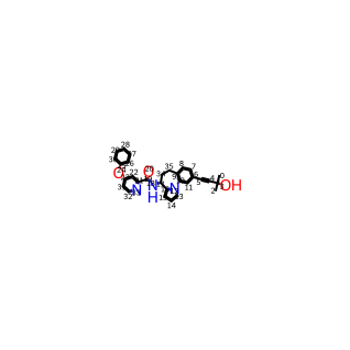 CC(C)(O)C#Cc1ccc2c(c1)-n1cccc1C(NC(=O)c1cc(Oc3ccccc3)ccn1)CC2